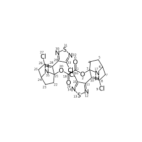 O=C(OC12CCC(CC(Cl)=C1c1nsnc1Cl)N2)C(=O)OC12CCC(CC(Cl)=C1c1nsnc1Cl)N2